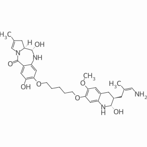 COc1cc2c(cc1OCCCCCOc1cc3c(cc1O)C(=O)N1C=C(C)C[C@H]1[C@H](O)N3)N[C@@H](O)[C@H](C/C(C)=C\N)C2